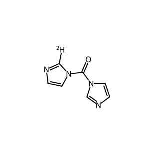 [2H]c1nccn1C(=O)n1ccnc1